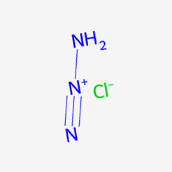 N#[N+]N.[Cl-]